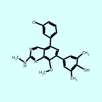 CNc1ncc2c(-c3cccc(Cl)c3)cc(-c3cc(C)c(O)c(C)c3)c(OC)c2n1